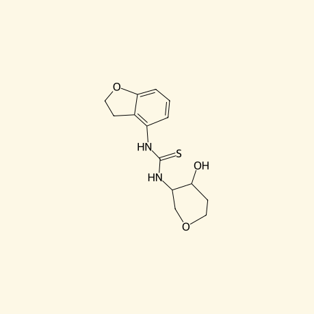 OC1CCOCC1NC(=S)Nc1cccc2c1CCO2